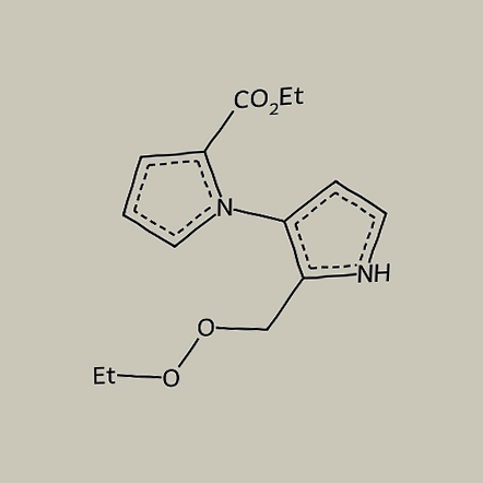 CCOOCc1[nH]ccc1-n1cccc1C(=O)OCC